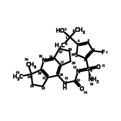 CC(C)(O)c1cc(F)c([S@](N)(=O)=NC(=O)Nc2c3c(nc4c2CCC4(C)C)CCC3)s1